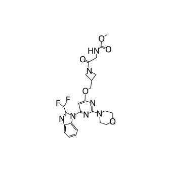 COC(=O)NCC(=O)N1CC(COc2cc(-n3c(C(F)F)nc4ccccc43)nc(N3CCOCC3)n2)C1